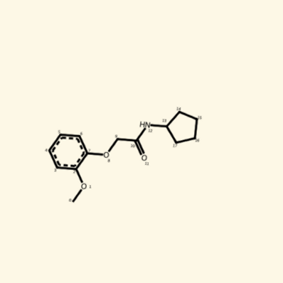 COc1ccccc1OCC(=O)NC1CCCC1